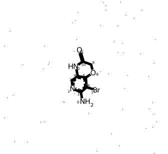 Nc1ncc2c(c1Br)OCC(=O)N2